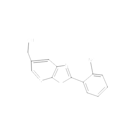 O=[N+]([O-])c1ccccc1-c1nc2cc(CO)cnc2s1